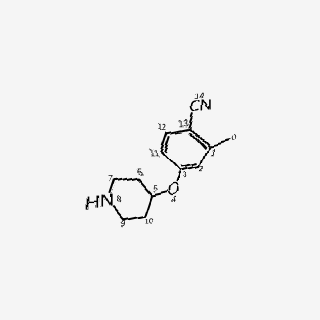 Cc1cc(OC2CCNCC2)ccc1C#N